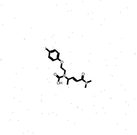 CC(C=CC(=O)N(C)C)N(CCOc1ccc(I)cc1)C(=O)O